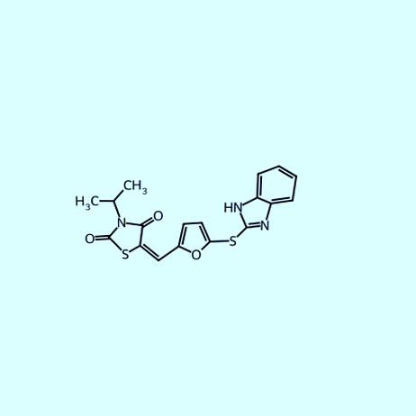 CC(C)N1C(=O)SC(=Cc2ccc(Sc3nc4ccccc4[nH]3)o2)C1=O